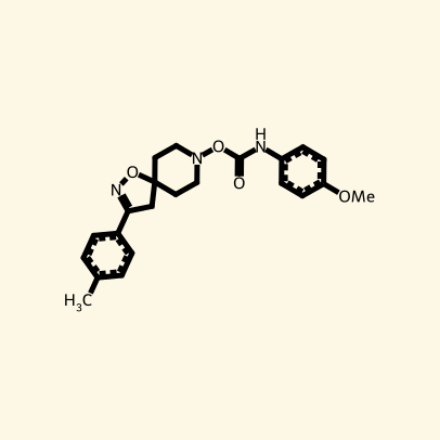 COc1ccc(NC(=O)ON2CCC3(CC2)CC(c2ccc(C)cc2)=NO3)cc1